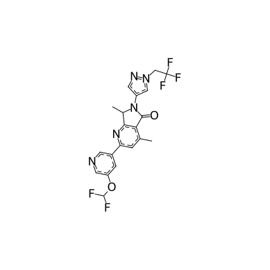 Cc1cc(-c2cncc(OC(F)F)c2)nc2c1C(=O)N(c1cnn(CC(F)(F)F)c1)C2C